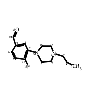 CCCN1CCN(c2cc(C=O)ccc2F)CC1